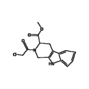 COC(=O)C1Cc2c([nH]c3ccccc23)CN1C(=O)CCl